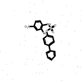 O=[N+]([O-])c1ccc(NS(=O)(=O)Oc2ccc(-c3ccccc3)cc2)c([N+](=O)[O-])c1